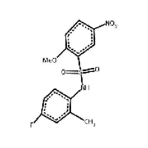 COc1ccc([N+](=O)[O-])cc1S(=O)(=O)Nc1ccc(F)cc1C